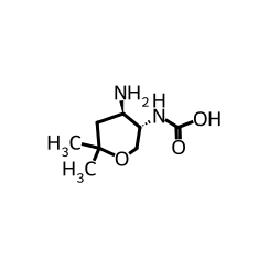 CC1(C)C[C@@H](N)[C@H](NC(=O)O)CO1